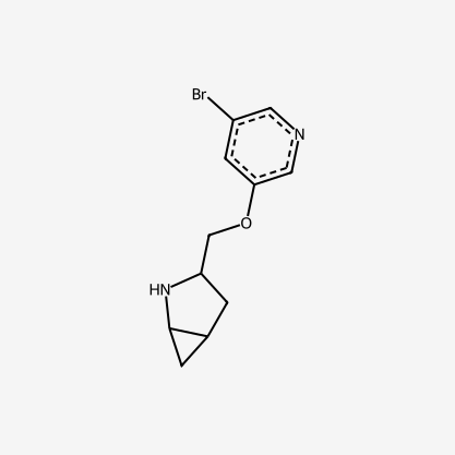 Brc1cncc(OCC2CC3CC3N2)c1